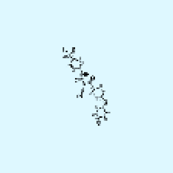 N#CC(C(=O)Nc1ccc(C(F)(F)F)cc1)C(=O)c1ccc(Oc2ccc(Br)cc2)cc1